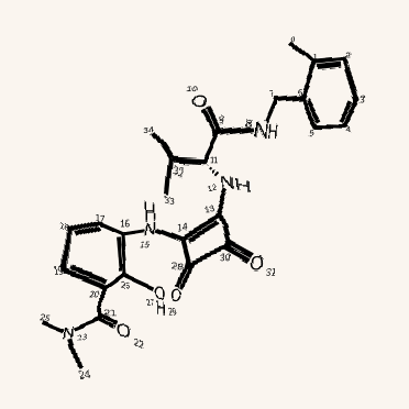 Cc1ccccc1CNC(=O)[C@H](Nc1c(Nc2cccc(C(=O)N(C)C)c2O)c(=O)c1=O)C(C)C